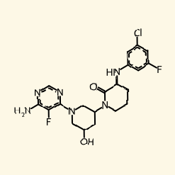 Nc1ncnc(N2CC(O)CC(N3CCCC(Nc4cc(F)cc(Cl)c4)C3=O)C2)c1F